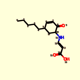 CCCCCC1C=CC(=O)C(NC=CC(=O)O)C1